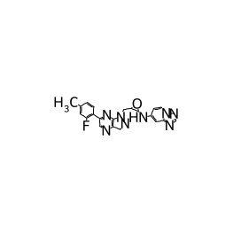 Cc1ccc(-c2cnc3cnn(CC4OC4Nc4ccn5ncnc5c4)c3n2)c(F)c1